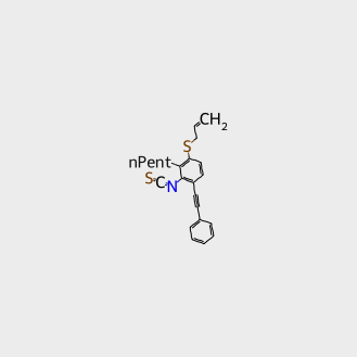 C=CCSc1ccc(C#Cc2ccccc2)c(N=C=S)c1CCCCC